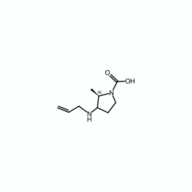 C=CCNC1CCN(C(=O)O)[C@@H]1C